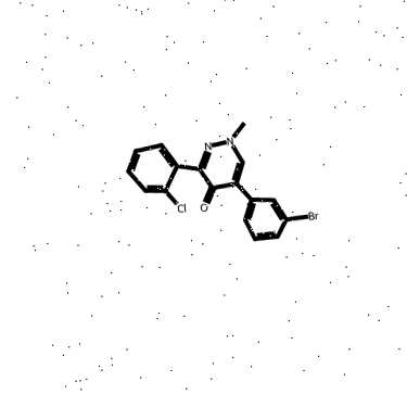 Cn1cc(-c2cccc(Br)c2)c(=O)c(-c2ccccc2Cl)n1